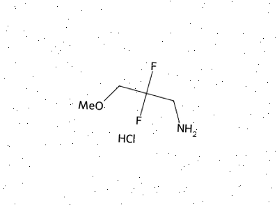 COCC(F)(F)CN.Cl